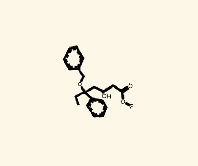 CCC(CC(O)CC(=O)OF)(OCc1ccccc1)c1ccccc1